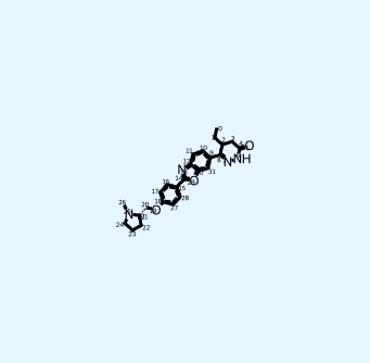 CCC1CC(=O)NN=C1c1ccc2nc(-c3ccc(OC[C@@H]4CCCN4C)cc3)oc2c1